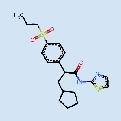 CCCS(=O)(=O)c1ccc(C(CC2CCCC2)C(=O)Nc2nccs2)cc1